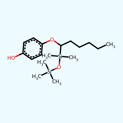 CCCCCC(Oc1ccc(O)cc1)[Si](C)(C)O[Si](C)(C)C